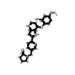 Nc1ccc(Oc2ccnc3cc(-c4ccc(CN5CCCC5=O)cn4)sc23)c(F)c1